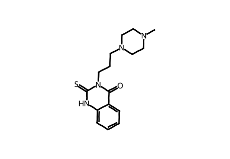 CN1CCN(CCCn2c(=S)[nH]c3ccccc3c2=O)CC1